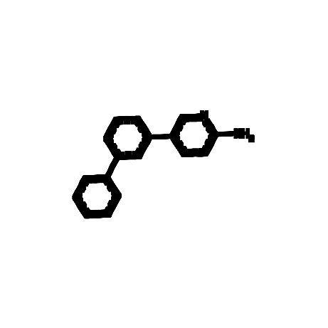 Nc1ccc(-c2cccc(-c3ccccc3)c2)cn1